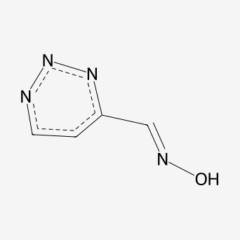 ON=Cc1ccnnn1